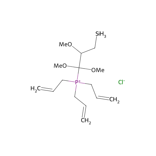 C=CC[P+](CC=C)(CC=C)C(OC)(OC)C(C[SiH3])OC.[Cl-]